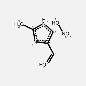 C=Cc1c[nH]c(C)n1.O=[N+]([O-])O